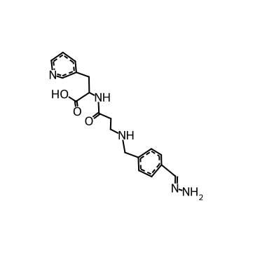 NN=Cc1ccc(CNCCC(=O)NC(Cc2cccnc2)C(=O)O)cc1